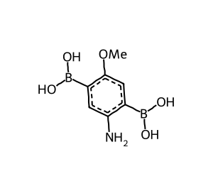 COc1cc(B(O)O)c(N)cc1B(O)O